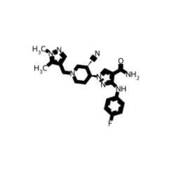 Cc1c(CN2CC[C@H](n3cc(C(N)=O)c(Nc4ccc(F)cc4)n3)[C@@H](C#N)C2)cnn1C